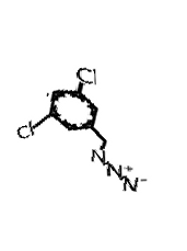 [N-]=[N+]=NCc1cc(Cl)[c]c(Cl)c1